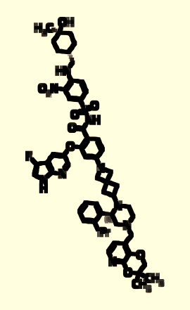 CC(C)c1ccccc1[C@@H]1CN(Cc2ccnc3c2OCC(C)(C)O3)CCN1C1CC2(C1)CN(c1ccc(C(=O)NS(=O)(=O)c3ccc(NC[C@H]4CC[C@](C)(O)CC4)c([N+](=O)[O-])c3)c(Oc3cnc4[nH]cc(F)c4c3)c1)C2